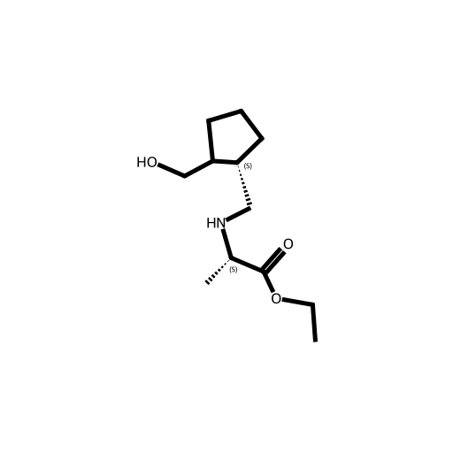 CCOC(=O)[C@H](C)NC[C@H]1CCCC1CO